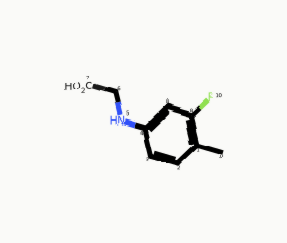 Cc1ccc(NCC(=O)O)cc1F